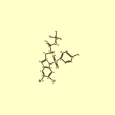 Cc1ccc(S(=O)(=O)n2c(CNC(=O)OC(C)(C)C)cc3cc(Br)c(O)cc32)cc1